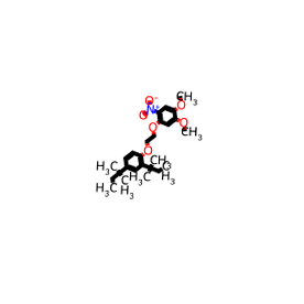 CCC(C)(C)c1ccc(OCCOc2cc(OC)c(OC)cc2[N+](=O)[O-])c(C(C)(C)CC)c1